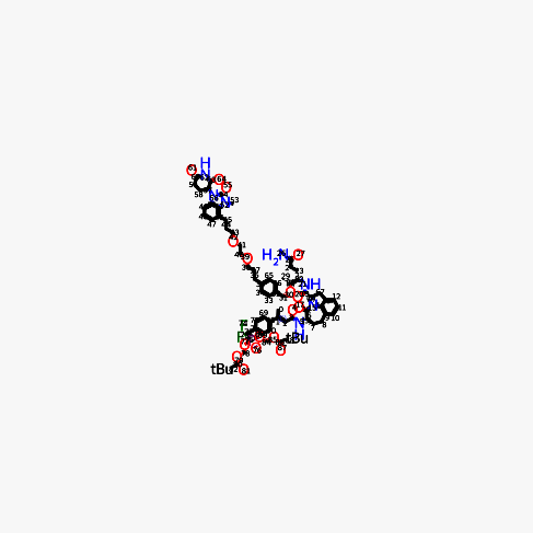 C/C(=C\C(=O)N[C@H]1CCc2cccc3c2N(C1=O)[C@H](C(=O)N[C@@H](CCC(N)=O)[C@@H](C)OCc1ccc(CCCOCCOCCCc2cccc4c2n(C)c(=O)n4C2CCC(=O)NC2=O)cc1)C3)c1ccc(C(F)(F)P(=O)(OCOC(=O)C(C)(C)C)OCOC(=O)C(C)(C)C)cc1